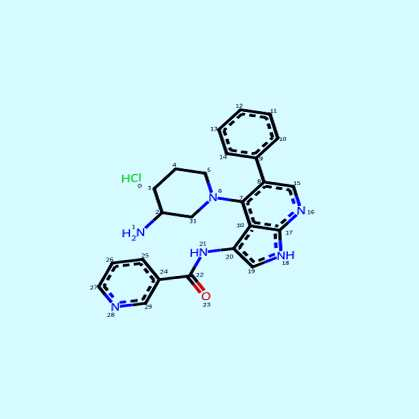 Cl.NC1CCCN(c2c(-c3ccccc3)cnc3[nH]cc(NC(=O)c4cccnc4)c23)C1